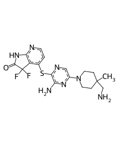 CC1(CN)CCN(c2cnc(Sc3ccnc4c3C(F)(F)C(=O)N4)c(N)n2)CC1